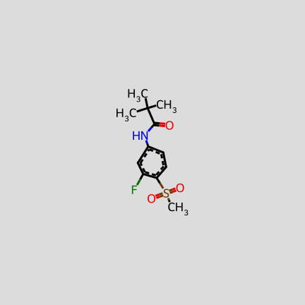 CC(C)(C)C(=O)Nc1ccc(S(C)(=O)=O)c(F)c1